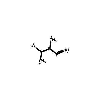 CC(S)C(C)C=N